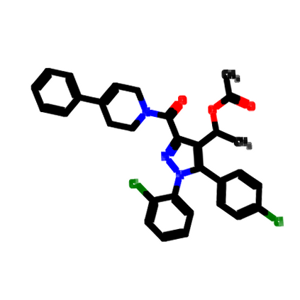 CC(=O)OC(C)c1c(C(=O)N2CC=C(c3ccccc3)CC2)nn(-c2ccccc2Cl)c1-c1ccc(Cl)cc1